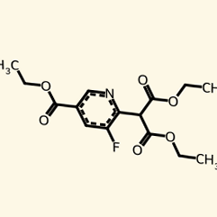 CCOC(=O)c1cnc(C(C(=O)OCC)C(=O)OCC)c(F)c1